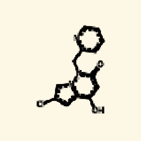 O=c1cc(O)c2cc(Cl)cn2n1Cc1ccccn1